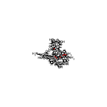 CC(C)[C@H](NC(=O)[C@@H]1CCCN1C(=O)[C@H](C)NC(=O)[C@H](CO)NC(=O)[C@H](CO)NC(=O)[C@H](Cc1c[nH]cn1)NC(=O)[C@H](CCCCN)NC(=O)[C@@H]1CCCN1C(=O)[C@H](CCCCN)NC(=O)[C@@H]1CCCN1C(=O)[C@@H]1CCCN1C(=O)[C@@H]1CCCN1C(=O)[C@H](C)NC(=O)[C@@H](NC(=O)[C@H](CO)NC(=O)[C@H](C)NC(=O)[C@@H]1CCCN1)[C@@H](C)O)C(=O)N[C@@H](Cc1ccccc1)C(=O)N[C@@H](CC(=O)O)C(=O)N[C@@H](CCCCN)C(=O)O